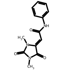 CN1C(=O)C(=CC(=O)Nc2ccccc2)N(C)C1=O